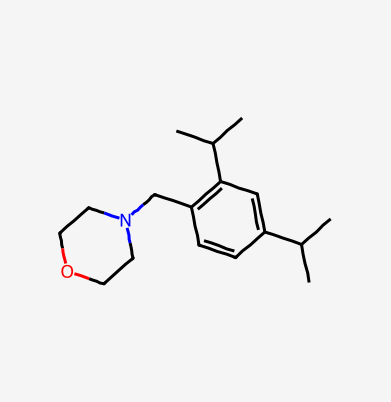 CC(C)c1ccc(CN2CCOCC2)c(C(C)C)c1